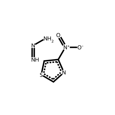 N=NN.O=[N+]([O-])c1cscn1